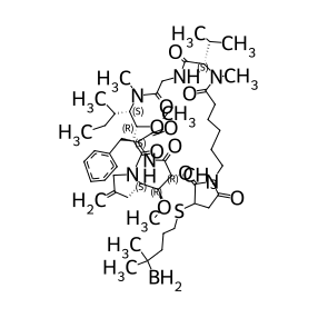 BC(C)(C)CCCSC1CC(=O)N(CCCCCC(=O)N(C)[C@H](C(=O)NCC(=O)N(C)[C@@H](C(C)CC)[C@@H](CC(=O)N2CC(=C)C[C@H]2[C@H](OC)[C@@H](C)C(=O)N[C@H](C=O)Cc2ccccc2)OC)C(C)C)C1=O